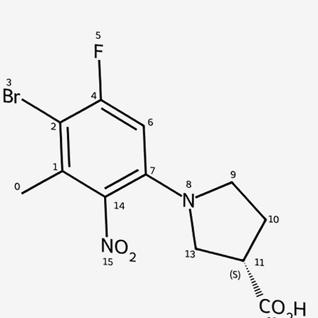 Cc1c(Br)c(F)cc(N2CC[C@H](C(=O)O)C2)c1[N+](=O)[O-]